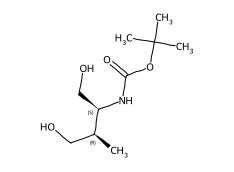 C[C@@H](CO)[C@@H](CO)NC(=O)OC(C)(C)C